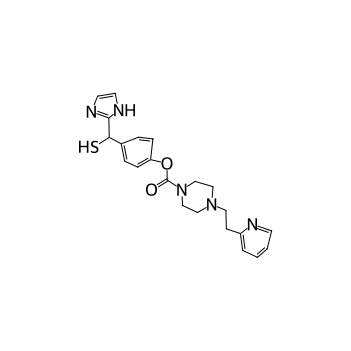 O=C(Oc1ccc(C(S)c2ncc[nH]2)cc1)N1CCN(CCc2ccccn2)CC1